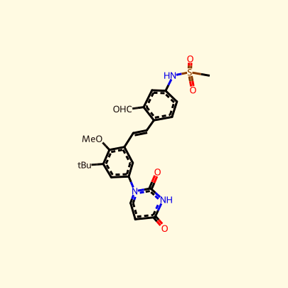 COc1c(C=Cc2ccc(NS(C)(=O)=O)cc2C=O)cc(-n2ccc(=O)[nH]c2=O)cc1C(C)(C)C